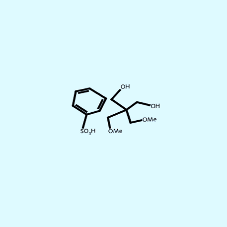 COCC(CO)(CO)COC.O=S(=O)(O)c1ccccc1